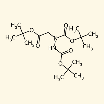 CC(C)(C)OC(=O)CN(NC(=O)OC(C)(C)C)C(=O)OC(C)(C)C